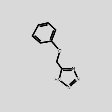 c1ccc(OCc2nnn[nH]2)cc1